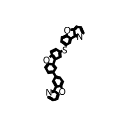 c1cnc2c(c1)oc1ccc(Sc3ccc4oc5ccc(-c6ccc7oc8cccnc8c7c6)cc5c4c3)cc12